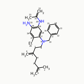 C=C(C)CCC(=C)CCN(Cc1ccccc1)c1cc(NC(=C)C)c(N)cc1CC